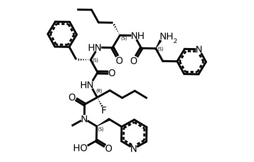 CCCC[C@H](NC(=O)[C@@H](N)Cc1cccnc1)C(=O)N[C@@H](Cc1ccccc1)C(=O)N[C@@](F)(CCCC)C(=O)N(C)[C@@H](Cc1cccnc1)C(=O)O